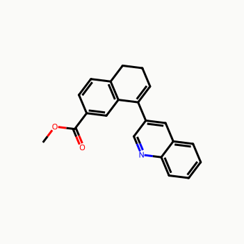 COC(=O)c1ccc2c(c1)C(c1cnc3ccccc3c1)=CCC2